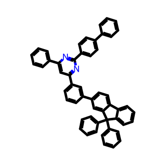 c1ccc(-c2ccc(-c3nc(-c4ccccc4)cc(-c4cccc(-c5ccc6c(c5)C(c5ccccc5)(c5ccccc5)c5ccccc5-6)c4)n3)cc2)cc1